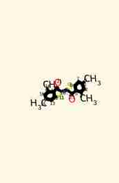 Cc1cc(C)c2c(c1)S/C(=C1/Sc3cc(C)cc(C)c3C1=O)C2=O